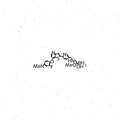 BC(O)(CNCc1ccc(-c2cc3nccc(Oc4ccc(NC)cc4F)c3s2)nc1)OC